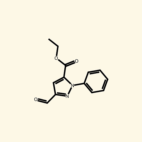 CCOC(=O)c1cc(C=O)nn1-c1ccccc1